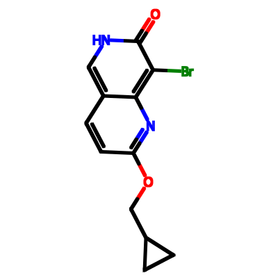 O=c1[nH]cc2ccc(OCC3CC3)nc2c1Br